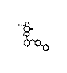 CC1(C)CC(=O)c2sc(N3CCOCC3Cc3ccc(-c4ccccc4)cc3)nc2C1